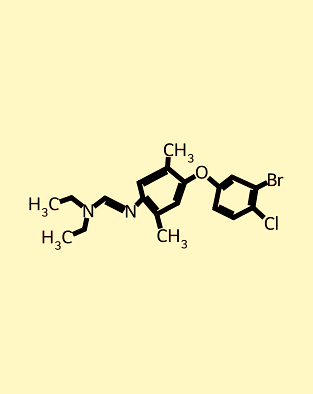 CCN(/C=N/c1cc(C)c(Oc2ccc(Cl)c(Br)c2)cc1C)CC